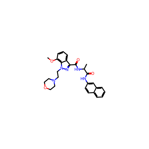 COc1cccc2c(C(=O)NC(C)C(=O)Nc3ccc4ccccc4c3)nn(CCN3CCOCC3)c12